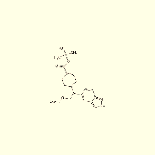 CC(C)(C)OC(=O)N1CCC(C(COC=O)c2ccc3n[nH]cc3c2)CC1